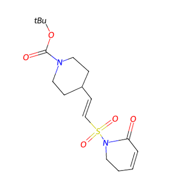 CC(C)(C)OC(=O)N1CCC(/C=C/S(=O)(=O)N2CCC=CC2=O)CC1